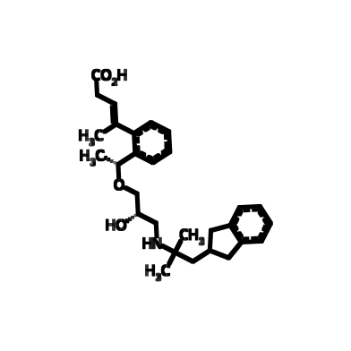 C/C(=C\CC(=O)O)c1ccccc1[C@@H](C)OC[C@@H](O)CNC(C)(C)CC1Cc2ccccc2C1